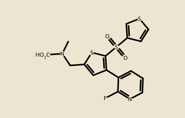 CN(Cc1cc(-c2cccnc2F)c(S(=O)(=O)c2ccsc2)s1)C(=O)O